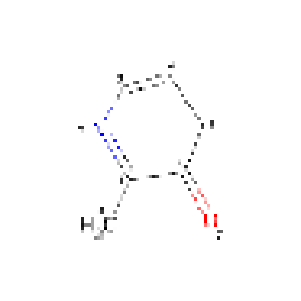 CC1=NC=CCC1=O